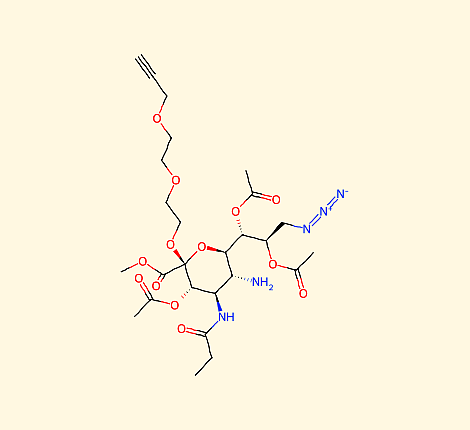 C#CCOCCOCCO[C@@]1(C(=O)OC)O[C@@H]([C@H](OC(C)=O)[C@@H](CN=[N+]=[N-])OC(C)=O)[C@H](N)[C@@H](NC(=O)CC)[C@@H]1OC(C)=O